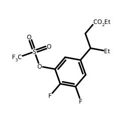 CCOC(=O)CC(CC)c1cc(F)c(F)c(OS(=O)(=O)C(F)(F)F)c1